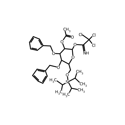 CC(=O)OC1C(OC(=N)C(Cl)(Cl)Cl)OC(CO[Si](C(C)C)(C(C)C)C(C)C)C(OCc2ccccc2)C1OCc1ccccc1